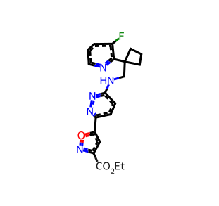 CCOC(=O)c1cc(-c2ccc(NCC3(c4ncccc4F)CCC3)nn2)on1